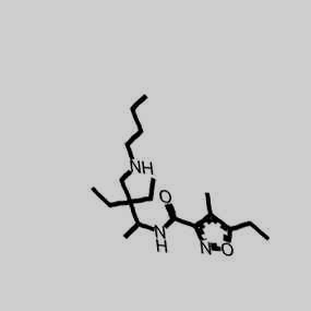 CCCCNCC(CC)(CC)C(C)NC(=O)c1noc(CC)c1C